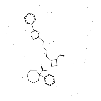 C=CC1C[C@H](OC(=O)C2(c3ccccc3)CCCCCC2)C1CCNCc1coc(-c2ccccc2)n1